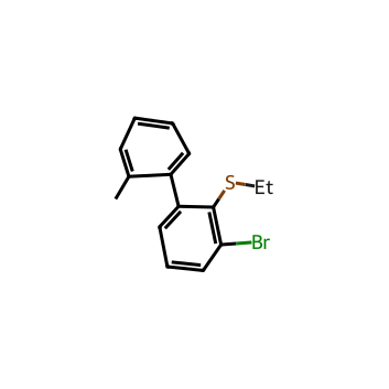 CCSc1c(Br)cccc1-c1ccccc1C